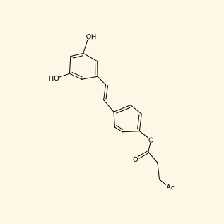 CC(=O)CCC(=O)Oc1ccc(/C=C/c2cc(O)cc(O)c2)cc1